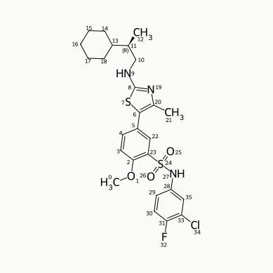 COc1ccc(-c2sc(NC[C@H](C)C3CCCCC3)nc2C)cc1S(=O)(=O)Nc1ccc(F)c(Cl)c1